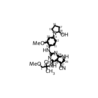 COCC(C)(C)Nc1nc(Nc2ccc(N3CCCC3O)cc2OC)nc2[nH]cc(C#N)c12